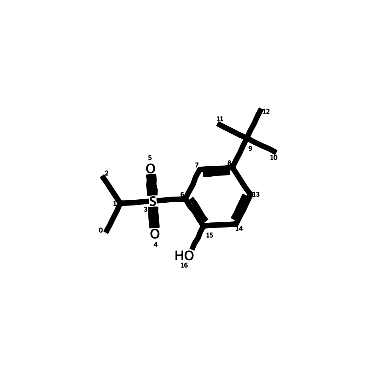 CC(C)S(=O)(=O)c1cc(C(C)(C)C)ccc1O